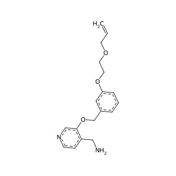 C=CCOCCOc1cccc(COc2cnccc2CN)c1